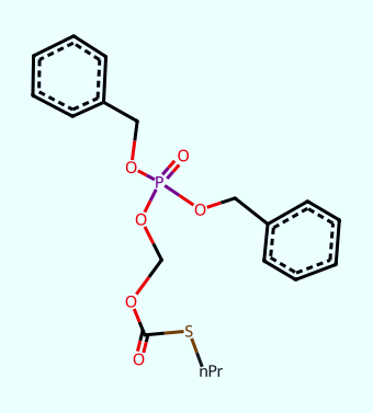 CCCSC(=O)OCOP(=O)(OCc1ccccc1)OCc1ccccc1